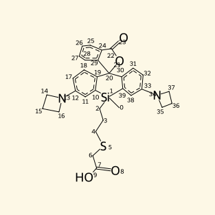 C[Si]1(CCCSCC(=O)O)c2cc(N3CCC3)ccc2C2(OC(=O)c3ccccc32)c2ccc(N3CCC3)cc21